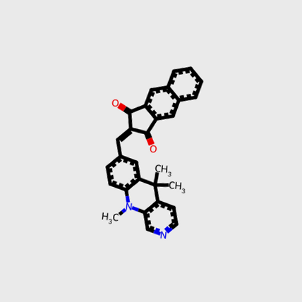 CN1c2cnccc2C(C)(C)c2cc(C=C3C(=O)c4cc5ccccc5cc4C3=O)ccc21